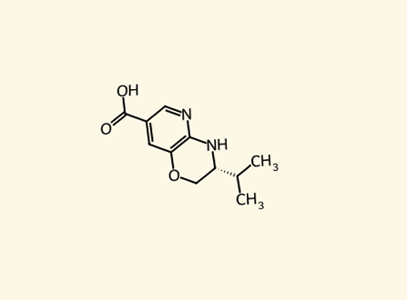 CC(C)[C@@H]1COc2cc(C(=O)O)cnc2N1